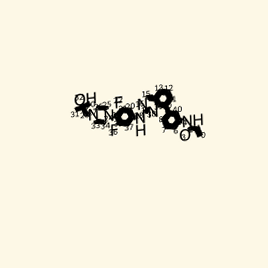 C=CC(=O)Nc1cccc(-c2cccc3cnc(Nc4cc(F)c(N5CCN(CC(C)(C)O)CC5)c(F)c4)nc23)c1